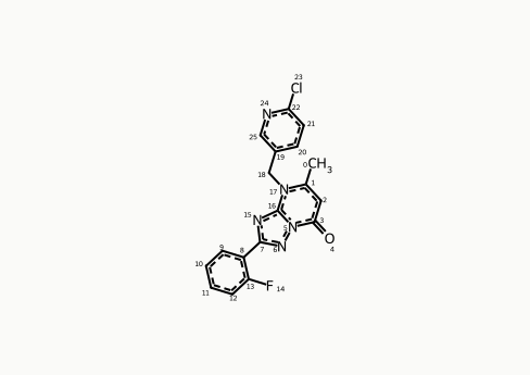 Cc1cc(=O)n2nc(-c3ccccc3F)nc2n1Cc1ccc(Cl)nc1